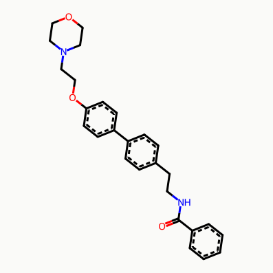 O=C(NCCc1ccc(-c2ccc(OCCN3CCOCC3)cc2)cc1)c1ccccc1